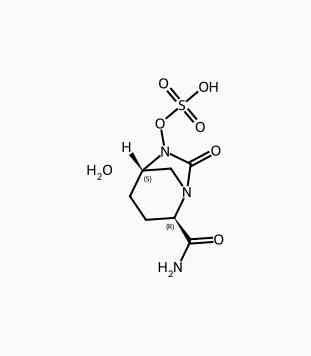 NC(=O)[C@H]1CC[C@H]2CN1C(=O)N2OS(=O)(=O)O.O